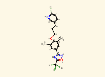 Cc1cc(-c2noc(C(F)(F)F)n2)cc(C)c1OCCCc1ccc(Cl)nc1